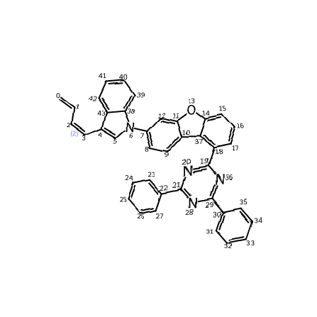 C=C/C=C\c1cn(-c2ccc3c(c2)oc2cccc(-c4nc(-c5ccccc5)nc(-c5ccccc5)n4)c23)c2ccccc12